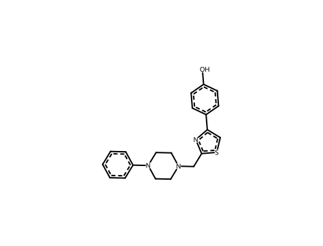 Oc1ccc(-c2csc(CN3CCN(c4ccccc4)CC3)n2)cc1